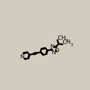 CCC(CC)c1nc(-c2ccc(C#Cc3ccncc3)cc2)no1